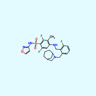 Cc1c(NCc2c(F)cccc2CN2CC3CCCC2C3)cc(F)c(S(=O)(=O)Nc2ccon2)c1F